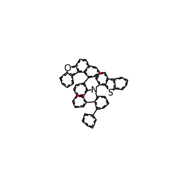 c1ccc(-c2cccc(N(c3ccccc3-c3cccc4ccc5oc6ccccc6c5c34)c3cccc4c3sc3ccccc34)c2-c2ccccc2)cc1